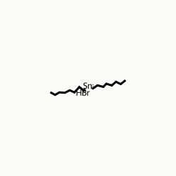 Br.CCCCCCC[CH2][Sn][CH2]CCCCCCC